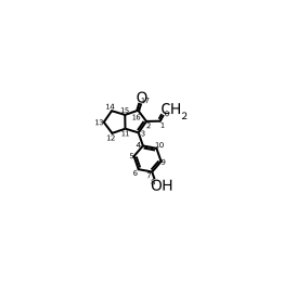 C=CC1=C(c2ccc(O)cc2)C2CCCC2C1=O